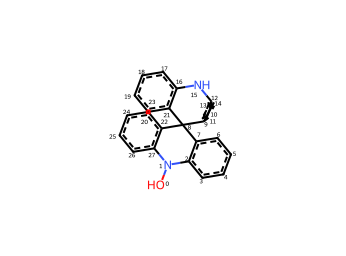 ON1c2ccccc2C2(c3ccccc3Nc3ccccc32)c2ccccc21